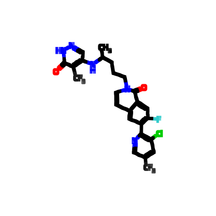 CC(CCCn1ccc2cc(-c3ncc(C(F)(F)F)cc3Cl)c(F)cc2c1=O)Nc1cn[nH]c(=O)c1C(F)(F)F